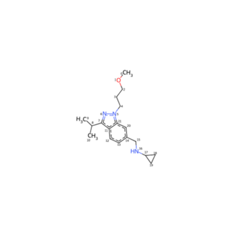 COCCCn1nc(C(C)C)c2ccc(CNC3CC3)cc21